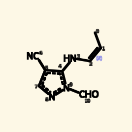 C/C=C\Nc1c(C#N)cnn1C=O